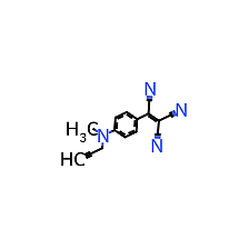 C#CCN(C)c1ccc(C(C#N)=C(C#N)C#N)cc1